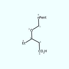 CCCCCCOC(CC)CC(=O)O